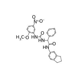 COc1ccc([N+](=O)[O-])cc1NC(=O)NC(C(=O)Nc1ccc2c(c1)CCC2)c1ccccc1